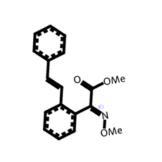 CO/N=C(/C(=O)OC)c1ccccc1C=Cc1ccccc1